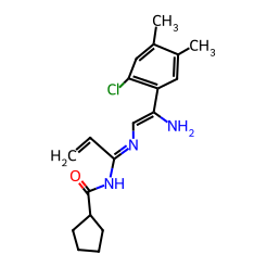 C=C/C(=N\C=C(/N)c1cc(C)c(C)cc1Cl)NC(=O)C1CCCC1